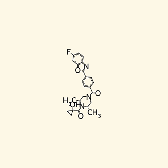 CC1CN(C(=O)c2ccc(-c3nc4ccc(F)cc4o3)cc2)C[C@H](C)N1C(=O)C1(O)CC1